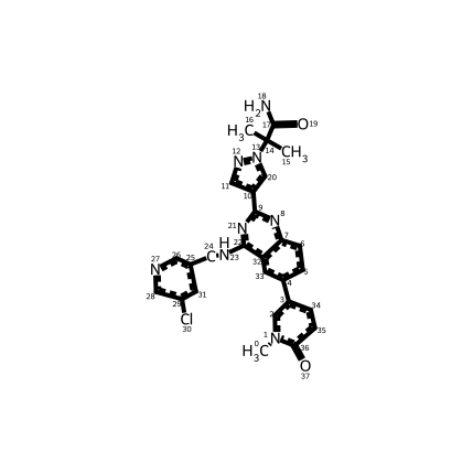 Cn1cc(-c2ccc3nc(-c4cnn(C(C)(C)C(N)=O)c4)nc(NCc4cncc(Cl)c4)c3c2)ccc1=O